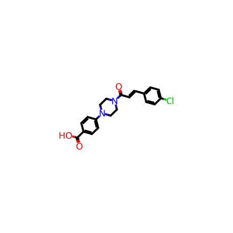 O=C(O)c1ccc(N2CCN(C(=O)C=Cc3ccc(Cl)cc3)CC2)cc1